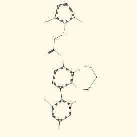 C[C@H](Nc1c(Cl)cccc1Cl)C(=O)Oc1ccc(-c2c(Cl)cc(F)cc2Cl)c2c1OCCCO2